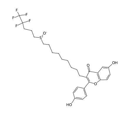 O=c1c(CCCCCCCCC[S+]([O-])CCCC(F)(F)C(F)(F)F)c(-c2ccc(O)cc2)oc2ccc(O)cc12